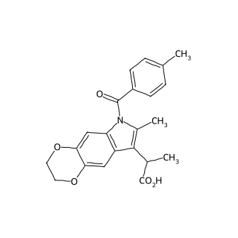 Cc1ccc(C(=O)n2c(C)c(C(C)C(=O)O)c3cc4c(cc32)OCCO4)cc1